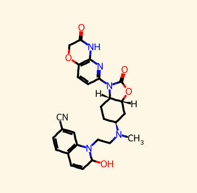 CN(CCN1c2cc(C#N)ccc2C=CC1O)[C@H]1CC[C@H]2[C@@H](C1)OC(=O)N2c1ccc2c(n1)NC(=O)CO2